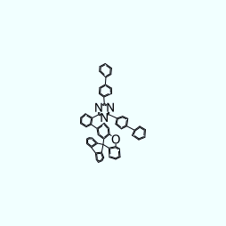 c1ccc(-c2ccc(-c3nc(-c4ccc(-c5ccccc5)cc4)nc(-c4ccccc4-c4ccc5c(c4)C4(c6ccccc6O5)c5ccccc5-c5ccccc54)n3)cc2)cc1